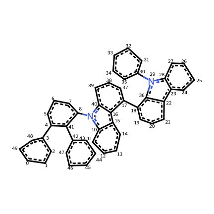 c1ccc(-c2cccc(-n3c4ccccc4c4c(-c5cccc6c7ccccc7n(-c7ccccc7)c56)cccc43)c2-c2ccccc2)cc1